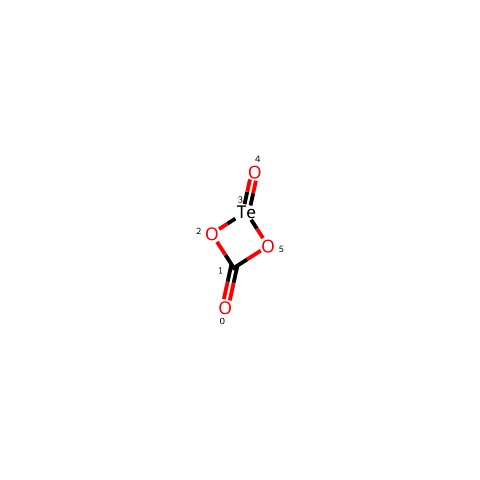 O=C1O[Te](=O)O1